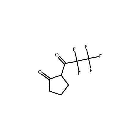 O=C1CCCC1C(=O)C(F)(F)C(F)(F)F